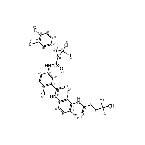 CC(F)(F)CCC(=O)Nc1c(F)ccc(NC(=O)c2cc(NC(=O)[C@H]3[C@H](c4ccc(F)c(Cl)c4)C3(Cl)Cl)ccc2Cl)c1F